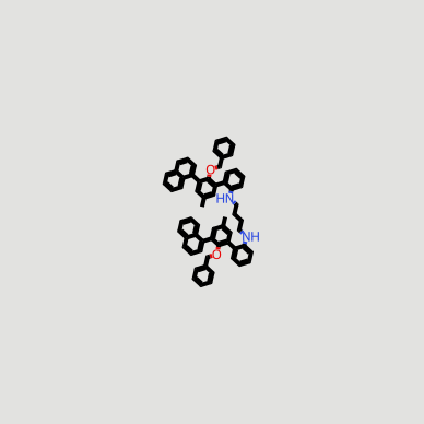 Cc1cc(-c2ccccc2NCCCCNc2ccccc2-c2cc(C)cc(-c3cccc4ccccc34)c2OCc2ccccc2)c(OCc2ccccc2)c(-c2cccc3ccccc23)c1